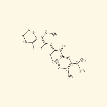 CC/C(=C\c1ccc2c(c1OC)OCCO2)C(=O)c1ccc(N)c(N(C)C)c1